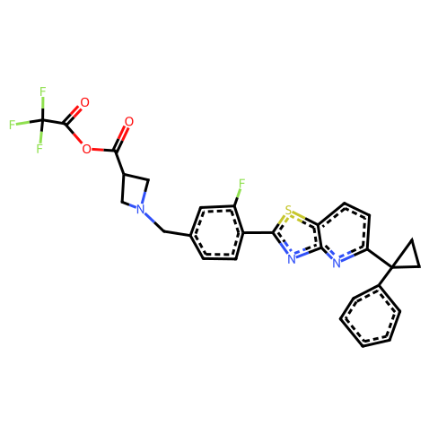 O=C(OC(=O)C(F)(F)F)C1CN(Cc2ccc(-c3nc4nc(C5(c6ccccc6)CC5)ccc4s3)c(F)c2)C1